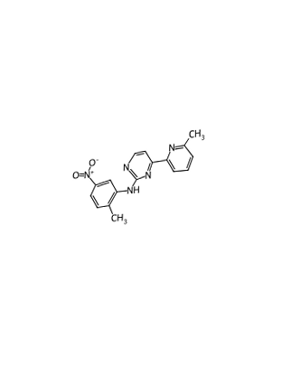 Cc1cccc(-c2ccnc(Nc3cc([N+](=O)[O-])ccc3C)n2)n1